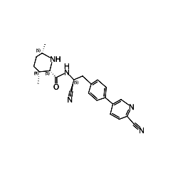 C[C@@H]1CC[C@H](C)N[C@@H]1C(=O)N[C@H](C#N)Cc1ccc(-c2ccc(C#N)nc2)cc1